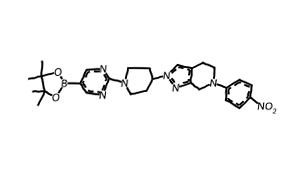 CC1(C)OB(c2cnc(N3CCC(n4cc5c(n4)CN(c4ccc([N+](=O)[O-])cc4)CC5)CC3)nc2)OC1(C)C